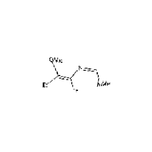 CCC(/N=C\NC)=C(\CC)OC